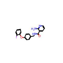 Nc1ncccc1C(=O)NCc1ccc(Oc2ccccc2I)cc1